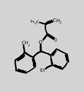 C=C(C)C(=O)OC(c1ccccc1C)c1ccccc1CC